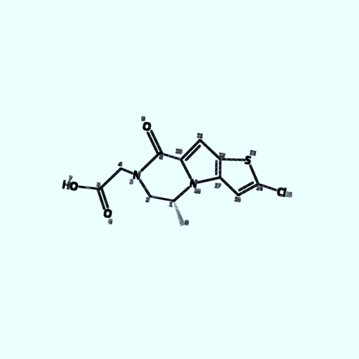 C[C@@H]1CN(CC(=O)O)C(=O)c2cc3sc(Cl)cc3n21